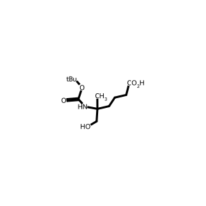 CC(CO)(CCCC(=O)O)NC(=O)OC(C)(C)C